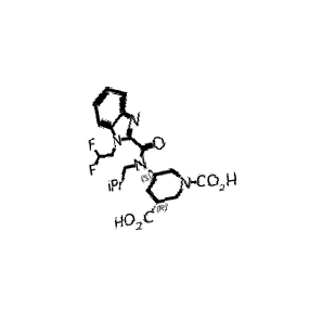 CC(C)CN(C(=O)c1nc2ccccc2n1CC(F)F)[C@H]1C[C@@H](C(=O)O)CN(C(=O)O)C1